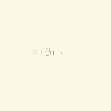 CCCC.O.[AlH3].[AlH3]